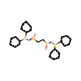 [O-]/[P+](CC/[P+]([O-])=N/P(c1ccccc1)c1ccccc1)=N\P(c1ccccc1)c1ccccc1